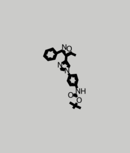 Cc1onc(-c2ccccc2)c1-c1cn(-c2ccc(NC(=O)OC(C)(C)C)cc2)cn1